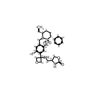 C=C[C@H]1CC[C@H](c2ccccc2)S(=O)(=O)N1Cc1cc(F)c(C2(NCC3COC(=O)N3)COC2)cc1F